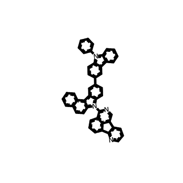 c1ccc(-n2c3ccccc3c3cc(-c4ccc5c(c4)c4c6ccccc6ccc4n5-c4ncc5c6c(cccc46)-c4ncccc4-5)ccc32)cc1